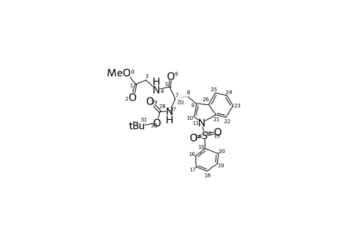 COC(=O)CNC(=O)[C@H](Cc1cn(S(=O)(=O)c2ccccc2)c2ccccc12)NC(=O)OC(C)(C)C